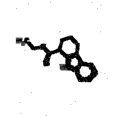 CCOC(=O)C1CCCc2c1[nH]c1ccccc21